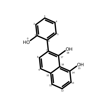 Oc1ccccc1-c1ccc2cccc(O)c2c1O